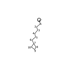 [O]CCCCCCC1CCC1